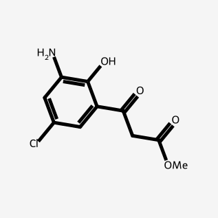 COC(=O)CC(=O)c1cc(Cl)cc(N)c1O